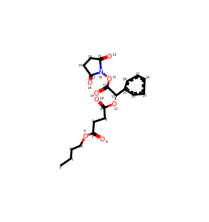 CCCCOC(=O)CCC(=O)O[C@H](C(=O)ON1C(=O)CCC1=O)c1ccccc1